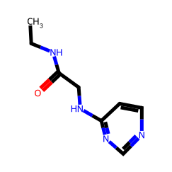 CCNC(=O)CNc1ccncn1